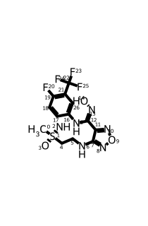 CS(=N)(=O)CCNc1nonc1/C(=N/O)Nc1ccc(F)c(C(F)(F)F)c1